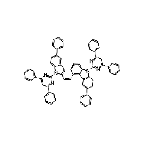 c1ccc(-c2ccc3c(c2)c2c4ccc5c(c4ccc2n3-c2nc(-c3ccccc3)cc(-c3ccccc3)n2)c2cc(-c3ccccc3)ccc2n5-c2nc(-c3ccccc3)cc(-c3ccccc3)n2)cc1